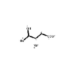 CCCCC(O)CCC(=O)[O-].[Na+]